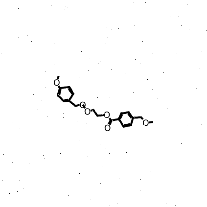 COCc1ccc(C(=O)OCCOOCc2ccc(OC)cc2)cc1